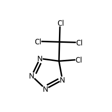 ClC(Cl)(Cl)C1(Cl)N=NN=N1